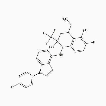 CCC1CC(O)(C(F)(F)F)C(Nc2cccc3c2ccn3-c2ccc(F)cc2)c2ccc(F)c(O)c21